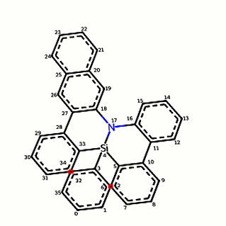 c1ccc([Si]23c4ccccc4-c4ccccc4N2c2cc4ccccc4cc2-c2ccccc23)cc1